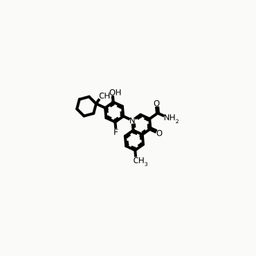 Cc1ccc2c(c1)c(=O)c(C(N)=O)cn2-c1cc(O)c(C2(C)CCCCC2)cc1F